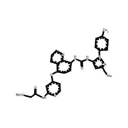 COCC(=O)Nc1cc(Oc2ccc(NC(=O)Nc3cc(C(C)(C)C)nn3-c3ccc(C)cc3)c3ncccc23)ccn1